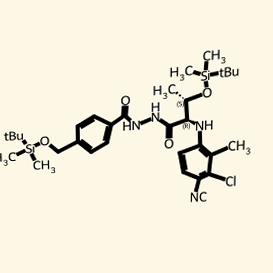 [C-]#[N+]c1ccc(N[C@@H](C(=O)NNC(=O)c2ccc(CO[Si](C)(C)C(C)(C)C)cc2)[C@H](C)O[Si](C)(C)C(C)(C)C)c(C)c1Cl